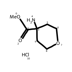 COC(=O)C1(N)CCOCC1.Cl